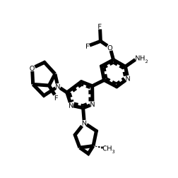 C[C@]12CC1CN(c1nc(-c3cnc(N)c(OC(F)F)c3)cc(N3CC4OCC3C4F)n1)C2